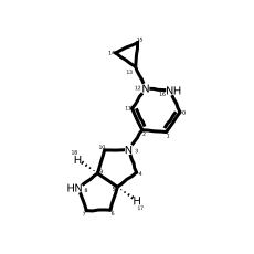 C1=CC(N2C[C@H]3CCN[C@H]3C2)=CN(C2CC2)N1